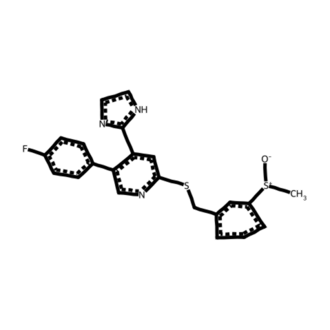 C[S+]([O-])c1cccc(CSc2cc(-c3ncc[nH]3)c(-c3ccc(F)cc3)cn2)c1